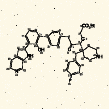 CCOC(=O)COC(C(=O)Cc1ccc(-c2cccc(-c3cc4ccncc4[nH]3)c2O)cc1)C1(Cc2ccc(F)cc2)CCNCC1